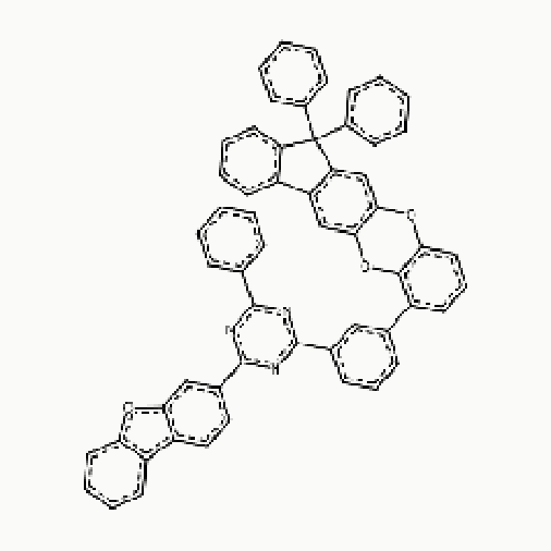 c1ccc(-c2nc(-c3cccc(-c4cccc5c4Oc4cc6c(cc4O5)C(c4ccccc4)(c4ccccc4)c4ccccc4-6)c3)nc(-c3ccc4c(c3)oc3ccccc34)n2)cc1